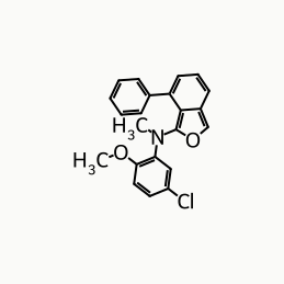 COc1ccc(Cl)cc1N(C)c1occ2cccc(-c3ccccc3)c12